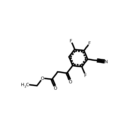 CCOC(=O)CC(=O)c1cc(F)c(F)c(C#N)c1F